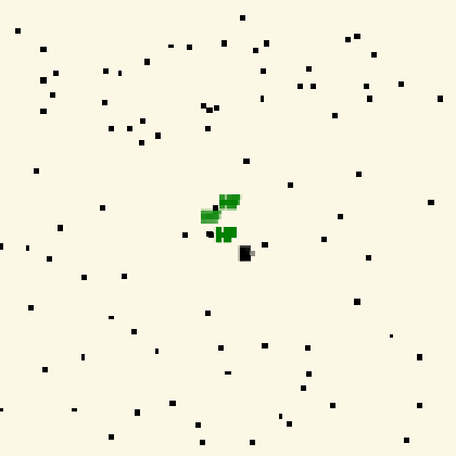 F.F.F.[K]